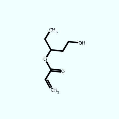 C=CC(=O)OC(CC)CCO